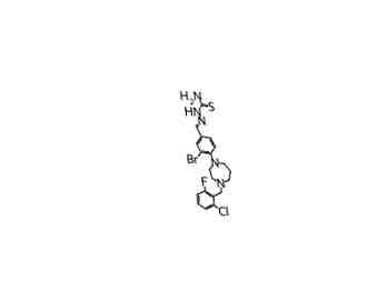 NC(=S)N/N=C/c1ccc(N2CCCN(Cc3c(F)cccc3Cl)CC2)c(Br)c1